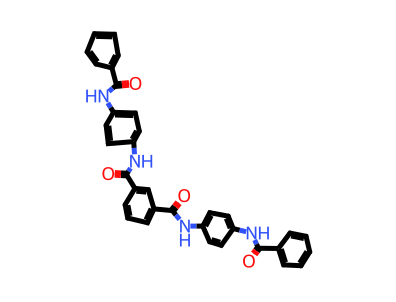 O=C(Nc1ccc(NC(=O)c2cccc(C(=O)Nc3ccc(NC(=O)c4ccccc4)cc3)c2)cc1)c1ccccc1